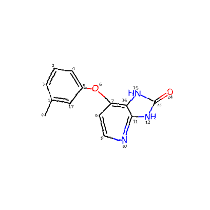 Cc1cccc(Oc2ccnc3[nH]c(=O)[nH]c23)c1